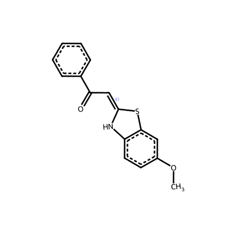 COc1ccc2c(c1)S/C(=C/C(=O)c1ccccc1)N2